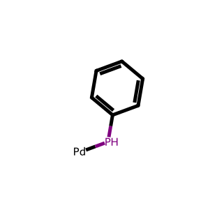 [Pd][PH]c1ccccc1